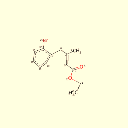 CCOC(=O)C=C(C)Cc1ccccc1Br